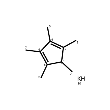 C[C]1C(C)=C(C)C(C)=C1C.[KH]